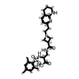 Cc1cc(C)c(S(=O)(=O)NC(CNC(=O)C2CN(CCc3ccc4c(n3)NCCC4)C2)C(=O)O)c(C)c1